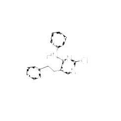 Clc1ncc(CCc2ccccc2)c(Nc2ccccc2)n1